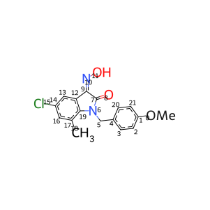 COc1ccc(CN2C(=O)/C(=N\O)c3cc(Cl)cc(C)c32)cc1